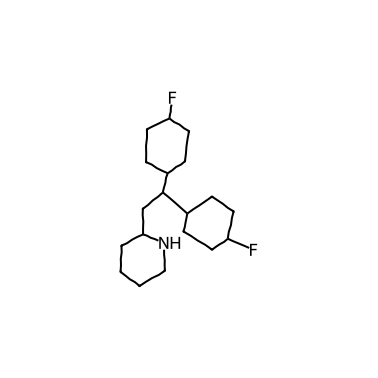 FC1CCC(C(CC2CCCCN2)C2CCC(F)CC2)CC1